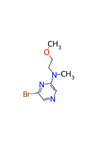 COCCN(C)c1cncc(Br)n1